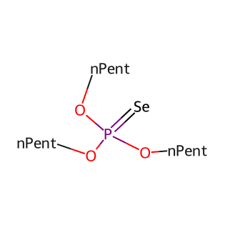 CCCCCOP(=[Se])(OCCCCC)OCCCCC